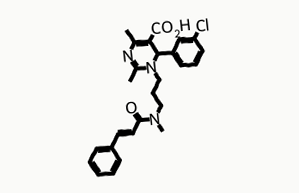 CC1=NC(C)=C(C(=O)O)C(c2cccc(Cl)c2)N1CCCN(C)C(=O)C=Cc1ccccc1